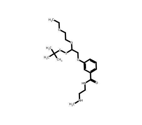 CCOCCOC(COc1cccc(C(=O)NCCNC)c1)SSC(C)(C)C